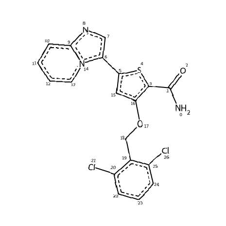 NC(=O)c1sc(-c2cnc3ccccn23)cc1OCc1c(Cl)cccc1Cl